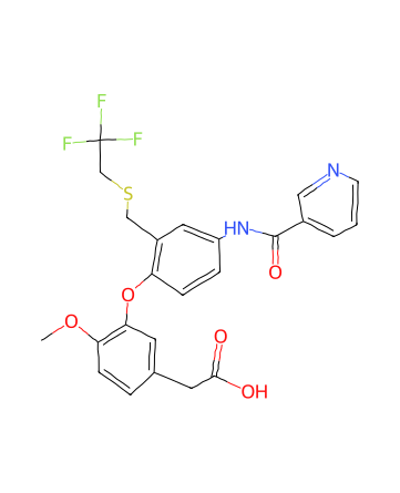 COc1ccc(CC(=O)O)cc1Oc1ccc(NC(=O)c2cccnc2)cc1CSCC(F)(F)F